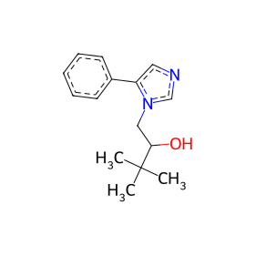 CC(C)(C)C(O)Cn1cncc1-c1ccccc1